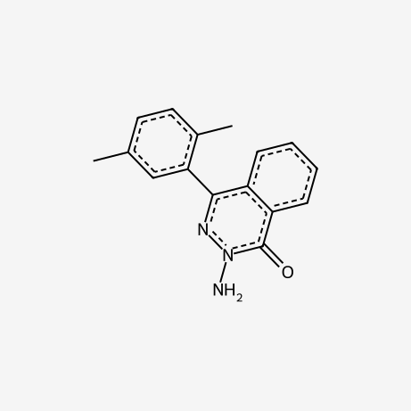 Cc1ccc(C)c(-c2nn(N)c(=O)c3ccccc23)c1